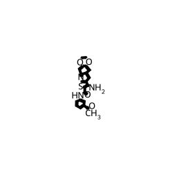 CC(=O)c1cccc(NC(=O)c2sc3nc4cc5c(cc4cc3c2N)OCCO5)c1